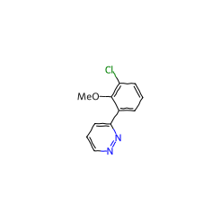 COc1c(Cl)cccc1-c1cccnn1